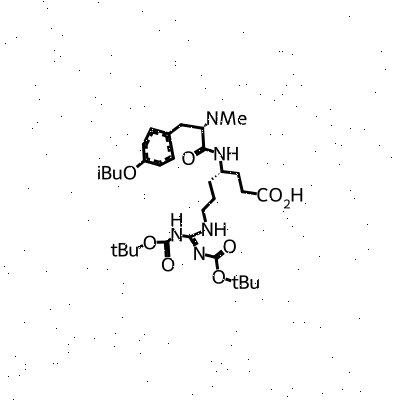 CN[C@@H](Cc1ccc(OCC(C)C)cc1)C(=O)N[C@@H](CCCN/C(=N\C(=O)OC(C)(C)C)NC(=O)OC(C)(C)C)CCC(=O)O